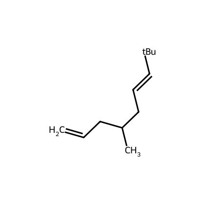 C=CCC(C)CC=CC(C)(C)C